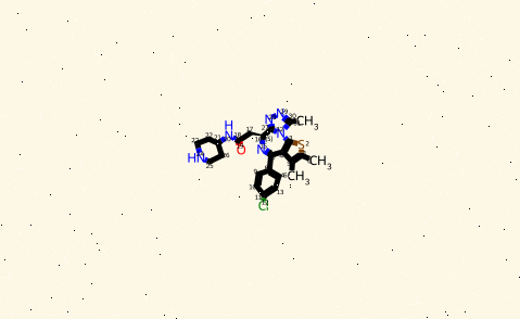 Cc1sc2c(c1C)C(c1ccc(Cl)cc1)=N[C@@H](CC(=O)NC1CCNCC1)c1nnc(C)n1-2